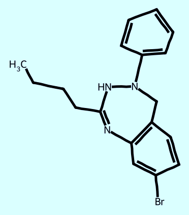 CCCCC1=Nc2cc(Br)ccc2CN(c2ccccc2)N1